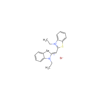 CCN1/C(=C/c2sc3ccccc3[n+]2CC)[Se]c2ccccc21.[Br-]